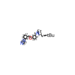 CCN(CC=CC#CC(C)(C)C)Cc1cccc(OCc2cccc(-n3ccnc3)c2)c1